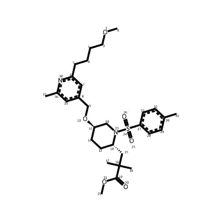 COCCCCc1cc(CO[C@@H]2CC[C@@H](CC(C)(C)C(=O)OC)N(S(=O)(=O)c3ccc(C)cc3)C2)cc(C)n1